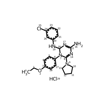 CCOc1ccc(N2C(N3CCCC3)=NC(N)=NC2Nc2cccc(Cl)c2)cc1.Cl